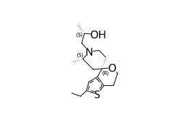 CCc1cc2c(s1)CCO[C@@]21CCN(C[C@H](C)O)[C@@H](C)C1